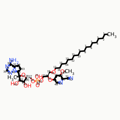 CCCCCCCCCCCCCCCCCCOC[C@H](COP(=O)(O)OC[C@H]1O[C@@](C)(c2ccc3c(N)ncnn23)[C@H](O)[C@@H]1O)Oc1cnc(C#N)c(OC)c1